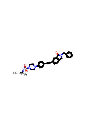 CC(C)[C@@H](NS(=O)(=O)N1CCN(c2ccc(C#Cc3ccc4c(c3)C(=O)N(Cc3ccccc3)C4)cc2)CC1)C(=O)O